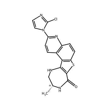 C[C@@H]1CNc2c(sc3ccc4nc(-n5ccnc5Cl)ccc4c23)C(=O)N1